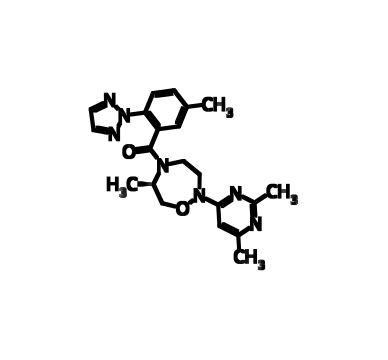 Cc1ccc(-n2nccn2)c(C(=O)N2CCN(c3cc(C)nc(C)n3)OC[C@H]2C)c1